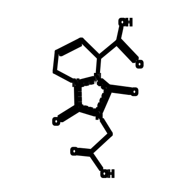 O=C(O)Cn1c(=O)n2n(c1=O)C(C(=O)O)C=CC2